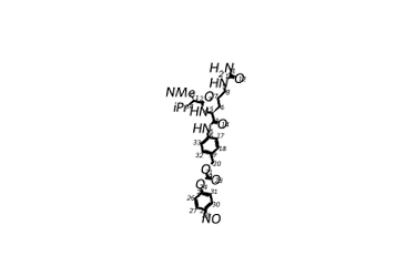 CN[C@H](C(=O)N[C@@H](CCCNC(N)=O)C(=O)Nc1ccc(COC(=O)Oc2ccc(N=O)cc2)cc1)C(C)C